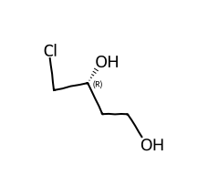 OCC[C@@H](O)CCl